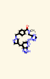 CN(Cc1ncn[nH]1)C(=O)c1ccc(Cn2cc(Cc3cc(N)nc4[nH]nnc34)cn2)cc1